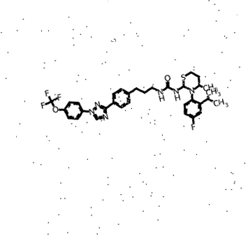 CC(C)c1cc(F)ccc1N1C(C)CCSC1NC(=O)NCCCc1ccc(-c2ncn(-c3ccc(OC(F)(F)F)cc3)n2)cc1